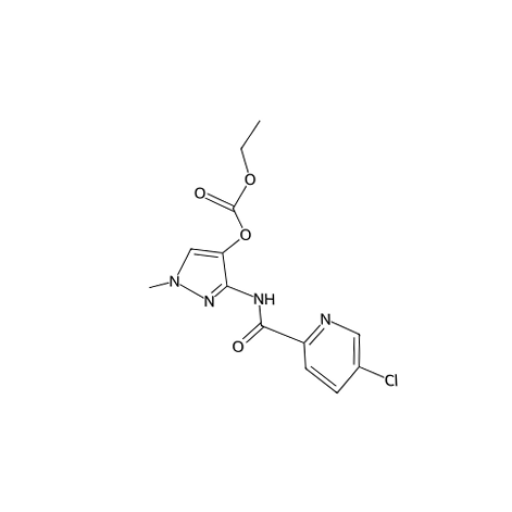 CCOC(=O)Oc1cn(C)nc1NC(=O)c1ccc(Cl)cn1